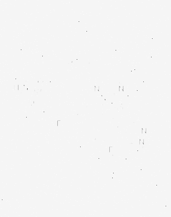 Cn1cc(-c2cc(-c3c(Cc4ccc(S(N)(=O)=O)cc4F)c(CC4CC4)nn3-c3nccs3)ccc2F)cn1